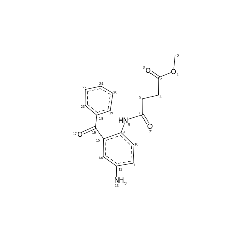 COC(=O)CCC(=O)Nc1ccc(N)cc1C(=O)c1ccccc1